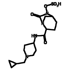 O=C(NC1CCN(CC2CC2)CC1)C1CCC2CN1C(=O)N2OS(=O)(=O)O